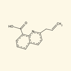 C=CCc1ccc2cccc(C(=O)O)c2n1